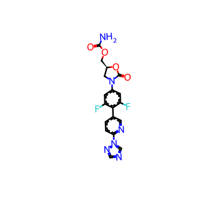 NC(=O)OC[C@@H]1CN(c2cc(F)c(-c3ccc(-n4cncn4)nc3)c(F)c2)C(=O)O1